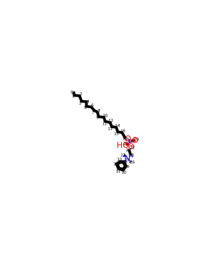 CCCCCCCCCCCCCCCCCCOP(=O)(O)OCC[N+](C)(C)c1ccccc1